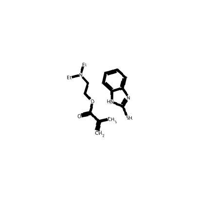 C=C(C)C(=O)OCCN(CC)CC.Sc1nc2ccccc2[nH]1